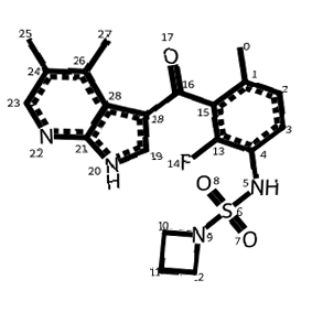 Cc1ccc(NS(=O)(=O)N2CCC2)c(F)c1C(=O)c1c[nH]c2ncc(C)c(C)c12